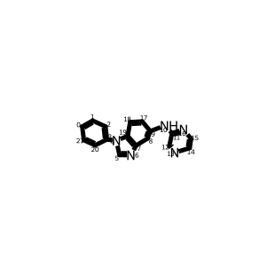 c1ccc(-n2cnc3cc(Nc4cnccn4)ccc32)cc1